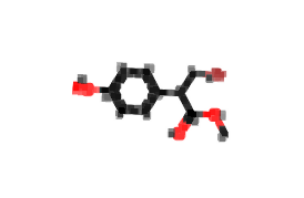 COC(=O)C(CBr)c1ccc(O)cc1